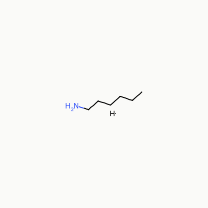 CCCCCCN.[H]